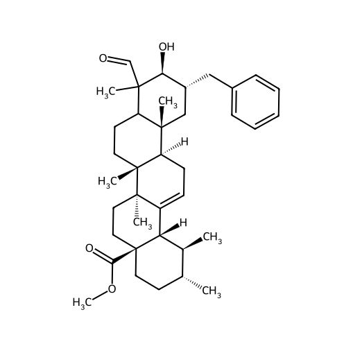 COC(=O)[C@]12CC[C@@H](C)[C@H](C)[C@H]1C1=CC[C@@H]3[C@@]4(C)C[C@@H](Cc5ccccc5)[C@H](O)C(C)(C=O)C4CC[C@@]3(C)[C@]1(C)CC2